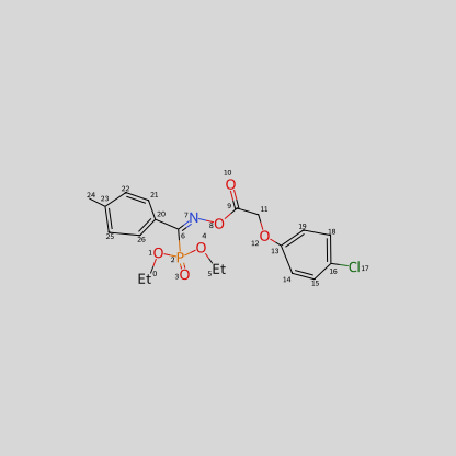 CCOP(=O)(OCC)C(=NOC(=O)COc1ccc(Cl)cc1)c1ccc(C)cc1